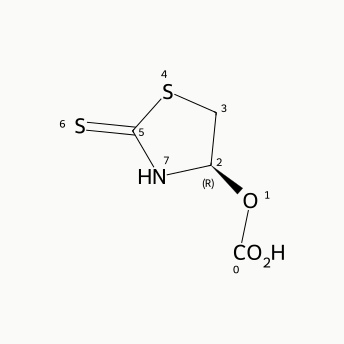 O=C(O)O[C@@H]1CSC(=S)N1